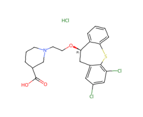 Cl.O=C(O)C1CCCN(CCO[C@@H]2Cc3cc(Cl)cc(Cl)c3Sc3ccccc32)C1